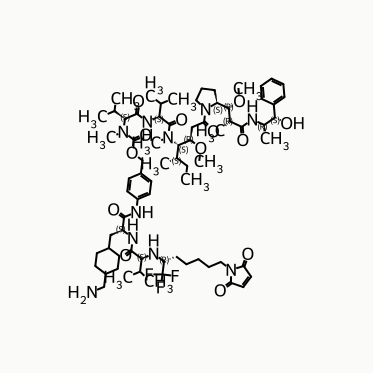 CC[C@H](C)[C@@H]([C@@H](CC(=O)N1CCC[C@H]1[C@H](OC)[C@@H](C)C(=O)N[C@H](C)[C@@H](O)c1ccccc1)OC)N(C)C(=O)[C@@H](NC(=O)[C@H](C(C)C)N(C)C(=O)OCc1ccc(NC(=O)[C@H](CC2CCC(CN)CC2)NC(=O)[C@@H](N[C@H](CCCCCN2C(=O)C=CC2=O)C(F)(F)F)C(C)C)cc1)C(C)C